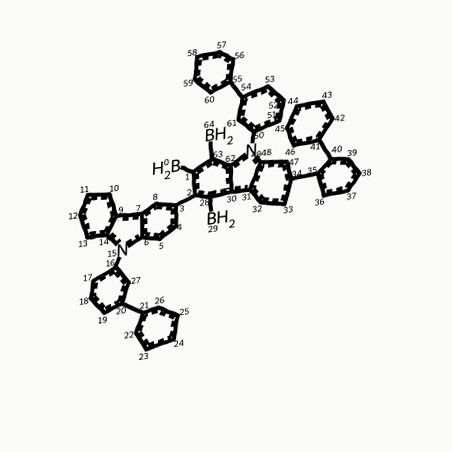 Bc1c(-c2ccc3c(c2)c2ccccc2n3-c2cccc(-c3ccccc3)c2)c(B)c2c3ccc(-c4ccccc4-c4ccccc4)cc3n(-c3cccc(-c4ccccc4)c3)c2c1B